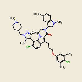 Cc1cc(OCCCc2c3n(c4c(-c5c(C)nn(CC6CCN(C)CC6)c5C)c(Cl)ccc24)C(C)CN(c2cn(C)c4ccc(C(=O)O)cc24)C3=O)cc(C)c1Cl